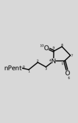 CCCCCCCCN1C(=O)CCC1=O